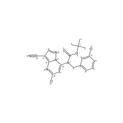 CC(C)(C)OC(=O)N(Cc1cccc(Cl)c1)c1cc(Cl)nc2c(C#N)cnn12